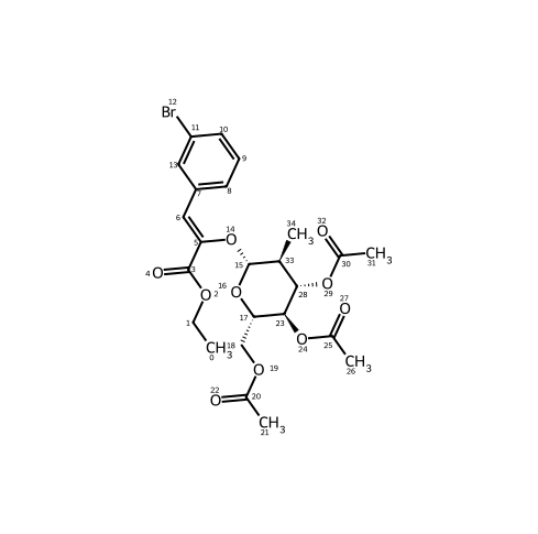 CCOC(=O)/C(=C/c1cccc(Br)c1)O[C@H]1O[C@@H](COC(C)=O)[C@H](OC(C)=O)[C@@H](OC(C)=O)[C@@H]1C